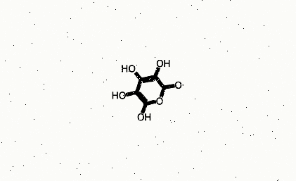 [O]C1OC(O)=C(O)C(O)=C1O